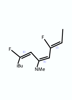 C/C=C(F)/C=C(\C=C(\F)C(C)CC)NC